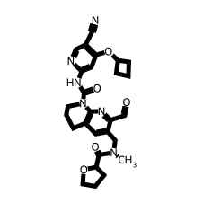 CN(Cc1cc2c(nc1C=O)N(C(=O)Nc1cc(OC3CCC3)c(C#N)cn1)CCC2)C(=O)C1CCCO1